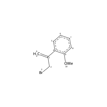 C=C(CBr)c1ccccc1OC